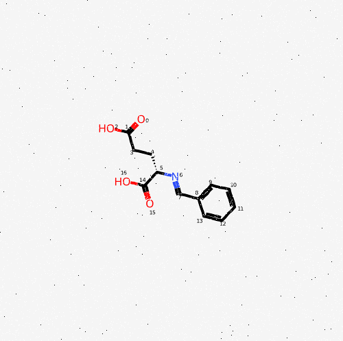 O=C(O)CC[C@H](N=Cc1ccccc1)C(=O)O